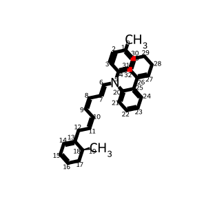 Cc1c#cc(N(/C=C/C=C\C=C/CC2=CC=CC[C@@H]2C)c2ccccc2C2=CCCC=C2)cc1